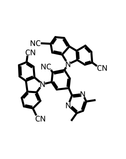 Cc1cc(C)nc(-c2cc(-n3c4cc(C#N)ccc4c4ccc(C#N)cc43)c(C#N)c(-n3c4cc(C#N)ccc4c4ccc(C#N)cc43)c2)n1